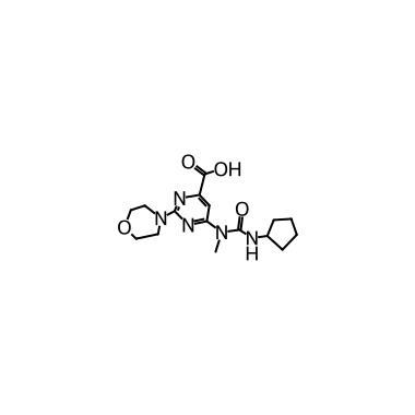 CN(C(=O)NC1CCCC1)c1cc(C(=O)O)nc(N2CCOCC2)n1